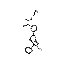 CN(CCCN)C(=O)c1cccc(-c2cnc3c(-c4ccccn4)c(N)nn3c2)n1